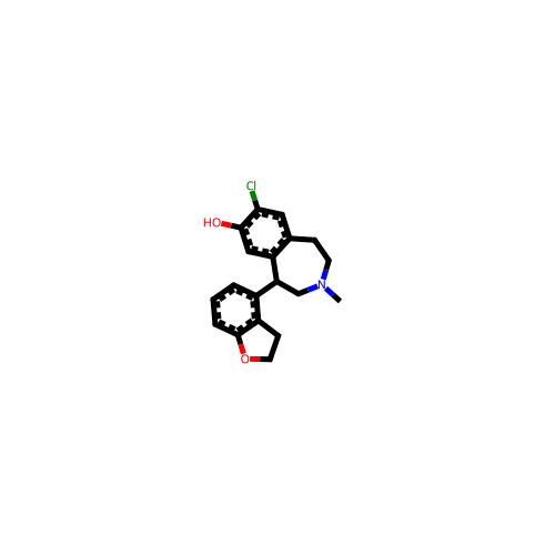 CN1CCc2cc(Cl)c(O)cc2C(c2cccc3c2CCO3)C1